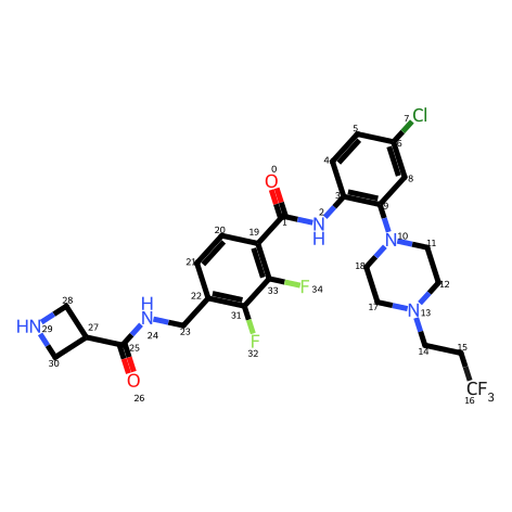 O=C(Nc1ccc(Cl)cc1N1CCN(CCC(F)(F)F)CC1)c1ccc(CNC(=O)C2CNC2)c(F)c1F